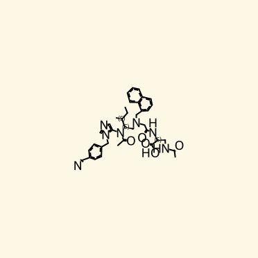 CC[C@H](C)[C@@H](CN(CC(=O)N[C@@H](CNC(C)=O)C(=O)O)Cc1cccc2ccccc12)N(C(C)=O)c1cncn1Cc1ccc(C#N)cc1